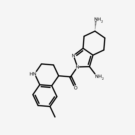 Cc1ccc2c(c1)C(C(=O)n1nc3c(c1N)CC[C@@H](N)C3)CCN2